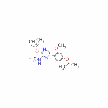 CCC(CC)Oc1ncc(-c2ccc(OC(C)C)cc2OC)nc1NC